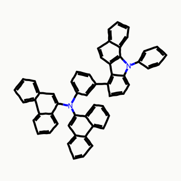 c1ccc(-n2c3cccc(-c4cccc(N(c5cc6ccccc6c6ccccc56)c5cc6ccccc6c6ccccc56)c4)c3c3ccc4ccccc4c32)cc1